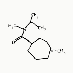 CC(C)N(C)C(=O)C1CCC[C@@H](C)CC1